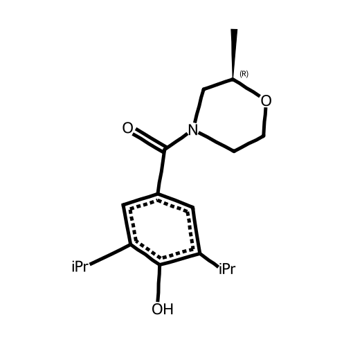 CC(C)c1cc(C(=O)N2CCO[C@H](C)C2)cc(C(C)C)c1O